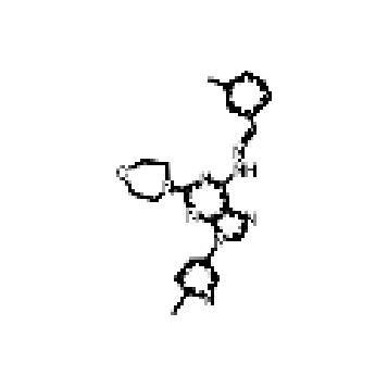 Cc1cccc(C=NNc2nc(N3CCOCC3)nc3c2ncn3-c2ccc(C)nc2)c1